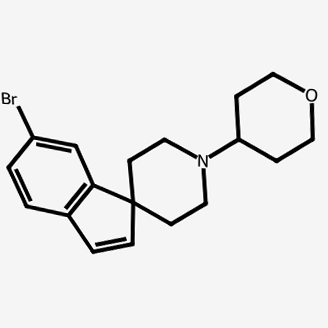 Brc1ccc2c(c1)C1(C=C2)CCN(C2CCOCC2)CC1